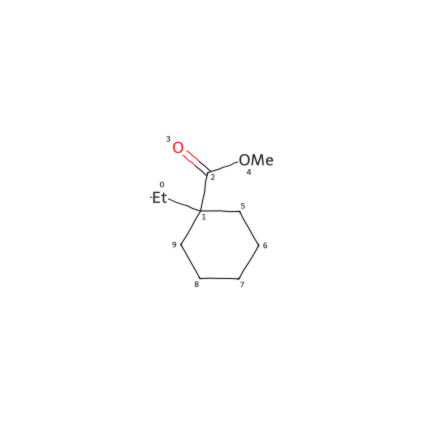 C[CH]C1(C(=O)OC)CCCCC1